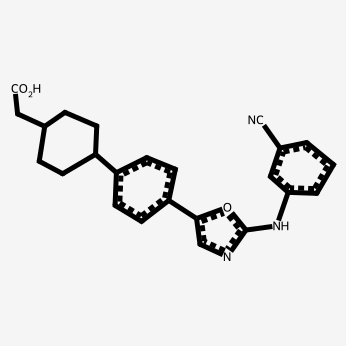 N#Cc1cccc(Nc2ncc(-c3ccc(C4CCC(CC(=O)O)CC4)cc3)o2)c1